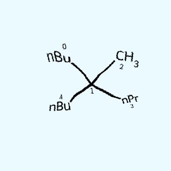 CCCCC(C)(CCC)CCCC